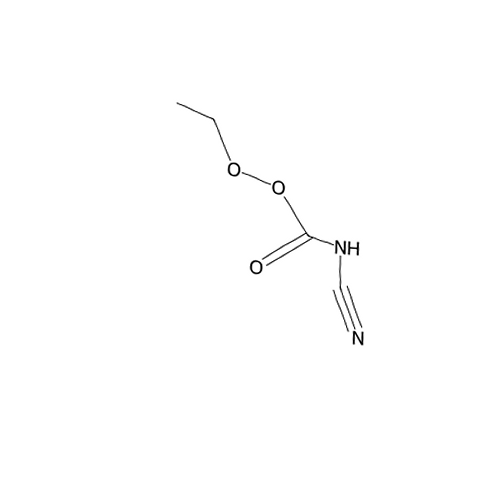 CCOOC(=O)NC#N